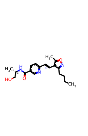 CCCCc1noc(C)c1/C=C/c1ccc(C(=O)N[C@@H](C)CO)cn1